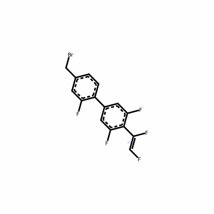 F/C=C(\F)c1c(F)cc(-c2ccc(CBr)cc2F)cc1F